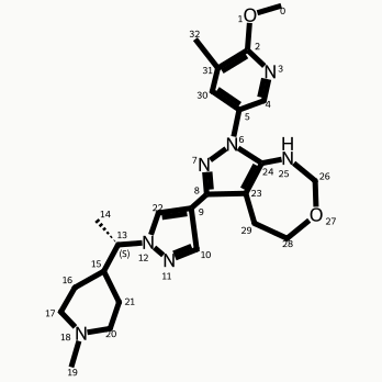 COc1ncc(-n2nc(-c3cnn([C@@H](C)C4CCN(C)CC4)c3)c3c2NCOCC3)cc1C